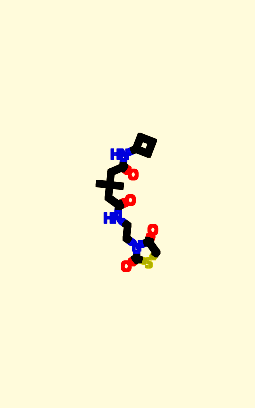 CC(C)(CC(=O)NCCN1C(=O)CSC1=O)CC(=O)NC1CCC1